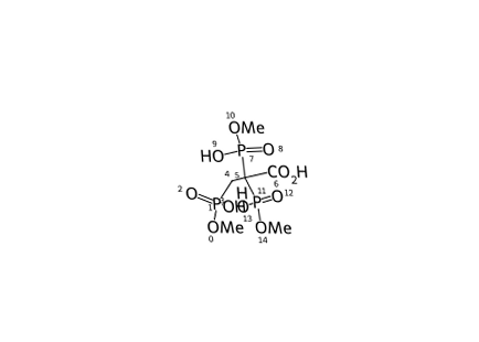 COP(=O)(O)CC(C(=O)O)(P(=O)(O)OC)P(=O)(O)OC